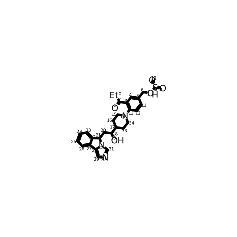 CCC(=O)c1cc(CO[SH](=O)=O)ccc1N1CCC(C(O)CC2c3ccccc3-c3cncn32)CC1